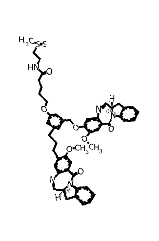 COc1cc2c(cc1CCCc1cc(COc3cc4c(cc3OC)C(=O)N3c5ccccc5C[C@H]3C=N4)cc(OCCCCC(=O)NCCS(C)=S)c1)N=C[C@@H]1Cc3ccccc3N1C2=O